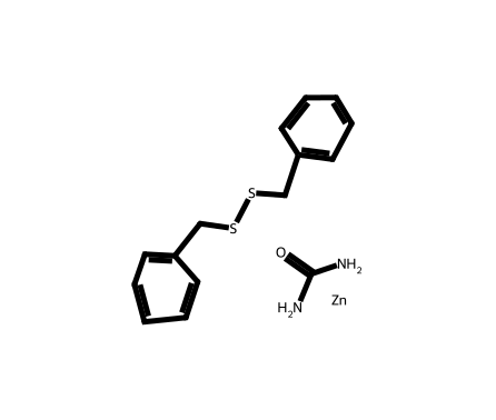 NC(N)=O.[Zn].c1ccc(CSSCc2ccccc2)cc1